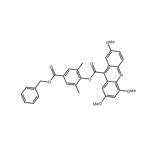 COc1ccc2nc3c(OC)cc(OC)cc3c(C(=O)Oc3c(C)cc(C(=O)OCc4ccccc4)cc3C)c2c1